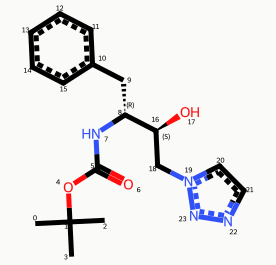 CC(C)(C)OC(=O)N[C@H](Cc1ccccc1)[C@@H](O)Cn1ccnn1